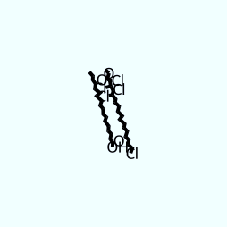 CCCCCCCCCCCCCCCCCC(=O)O.COC(=O)C(Cl)C(Cl)C(Cl)C(Cl)CCCCCCCCCCCCCCl